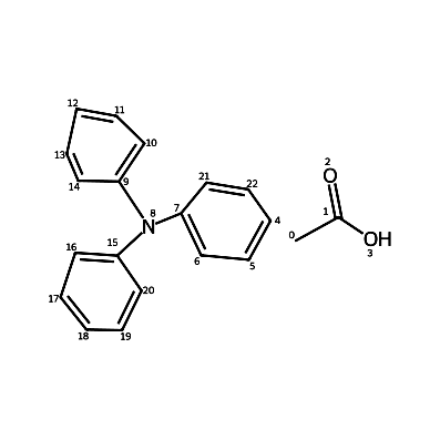 CC(=O)O.c1ccc(N(c2ccccc2)c2ccccc2)cc1